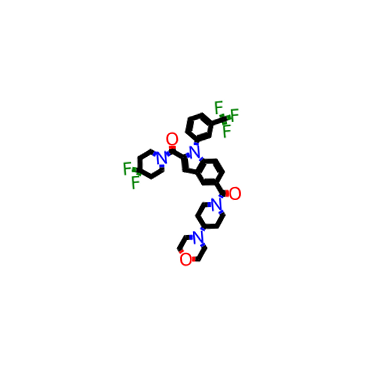 O=C(c1ccc2c(c1)cc(C(=O)N1CCC(F)(F)CC1)n2-c1cccc(C(F)(F)F)c1)N1CCC(N2CCOCC2)CC1